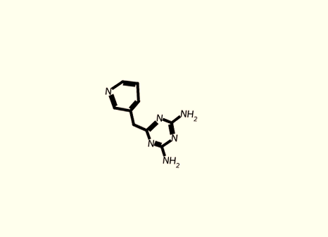 Nc1nc(N)nc(Cc2cccnc2)n1